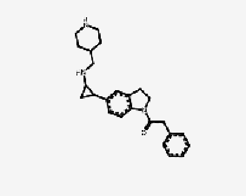 O=C(Cc1ccccc1)N1CCc2cc(C3CC3NCC3CCNCC3)ccc21